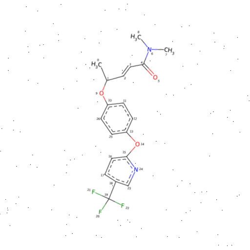 CC(C=CC(=O)N(C)C)Oc1ccc(Oc2ccc(C(F)(F)F)cn2)cc1